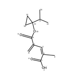 C=C(C=C(C)C(=O)O)C(=O)OC1(C(C)C)CC1